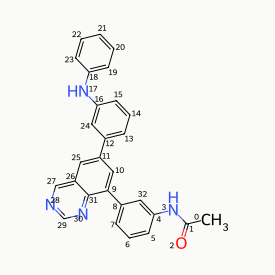 CC(=O)Nc1cccc(-c2cc(-c3cccc(Nc4ccccc4)c3)cc3cncnc23)c1